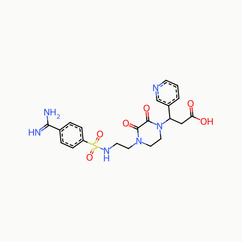 N=C(N)c1ccc(S(=O)(=O)NCCN2CCN(C(CC(=O)O)c3cccnc3)C(=O)C2=O)cc1